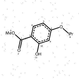 COC(=O)c1ccc(OC(C)C)cc1O